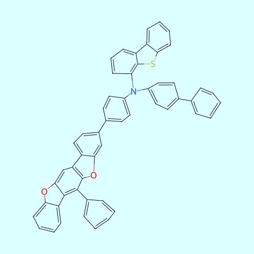 c1ccc(-c2ccc(N(c3ccc(-c4ccc5c(c4)oc4c(-c6ccccc6)c6c(cc45)oc4ccccc46)cc3)c3cccc4c3sc3ccccc34)cc2)cc1